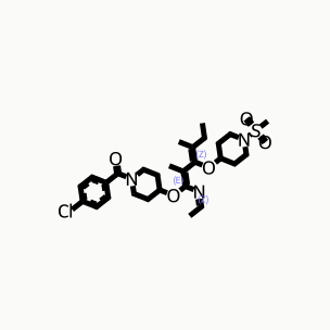 C\C=N/C(OC1CCN(C(=O)c2ccc(Cl)cc2)CC1)=C(C)\C(OC1CCN(S(C)(=O)=O)CC1)=C(/C)CC